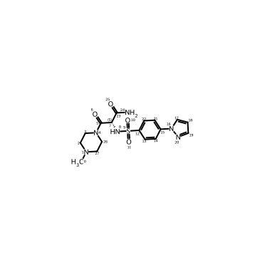 CN1CCN(C(=O)[C@@H](NS(=O)(=O)c2ccc(-n3cccn3)cc2)C(N)=O)CC1